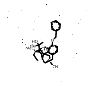 CO[C@]12CC[C@@]3(C[C@@H]1C(C)(O)C(C)(C)C)C1Cc4ccc(OCc5ccccc5)c5c4C3(CCN1C#N)C2O5